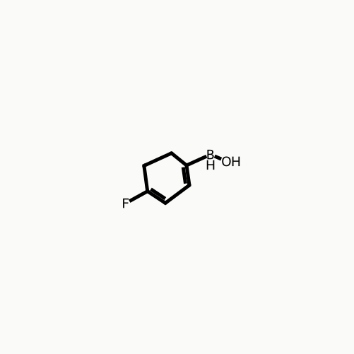 OBC1=CC=C(F)CC1